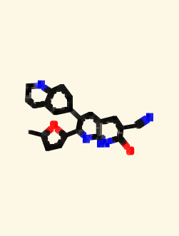 Cc1ccc(-c2nc3[nH]c(=O)c(C#N)cc3cc2-c2ccc3ncccc3c2)o1